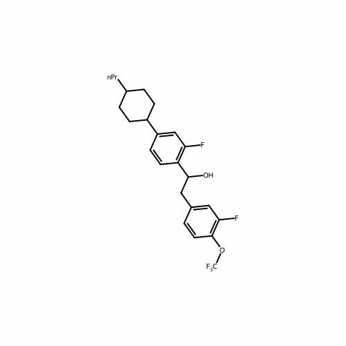 CCCC1CCC(c2ccc(C(O)Cc3ccc(OC(F)(F)F)c(F)c3)c(F)c2)CC1